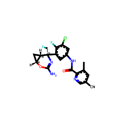 Cc1cc(C#N)cnc1C(=O)Nc1cc(Cl)c(F)c([C@@]2(CF)N=C(N)O[C@@H]3C[C@@H]32)c1